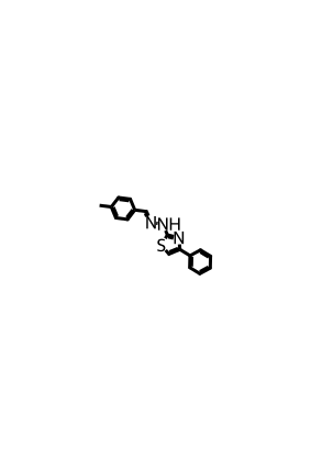 Cc1ccc(/C=N/Nc2nc(-c3ccccc3)cs2)cc1